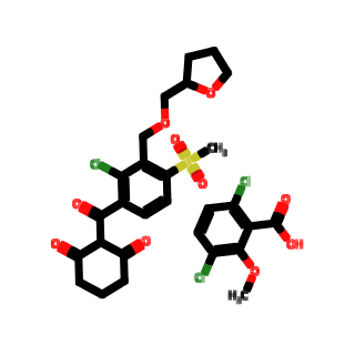 COc1c(Cl)ccc(Cl)c1C(=O)O.CS(=O)(=O)c1ccc(C(=O)C2C(=O)CCCC2=O)c(Cl)c1COCC1CCCO1